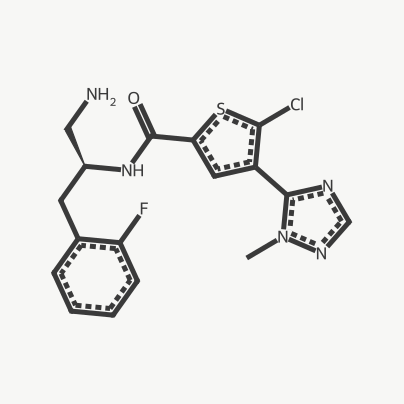 Cn1ncnc1-c1cc(C(=O)N[C@H](CN)Cc2ccccc2F)sc1Cl